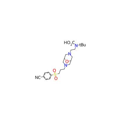 CC(C)(C)N(CCN1CC2CN(CCCS(=O)(=O)c3ccc(C#N)cc3)CC(C1)O2)C(=O)O